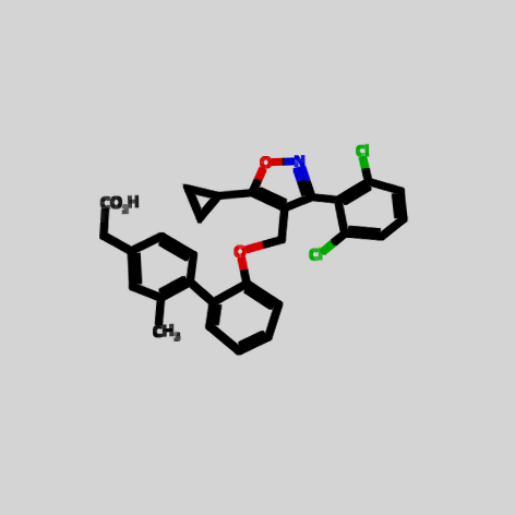 Cc1cc(CC(=O)O)ccc1-c1ccccc1OCc1c(-c2c(Cl)cccc2Cl)noc1C1CC1